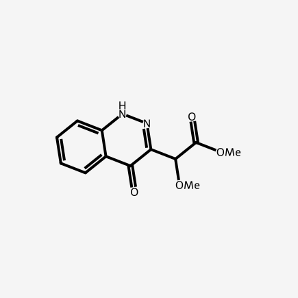 COC(=O)C(OC)c1n[nH]c2ccccc2c1=O